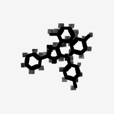 Cc1ccc(N(c2ccc(C)cc2)c2sc(-c3ccccc3)nc2-c2ccccc2C)cc1